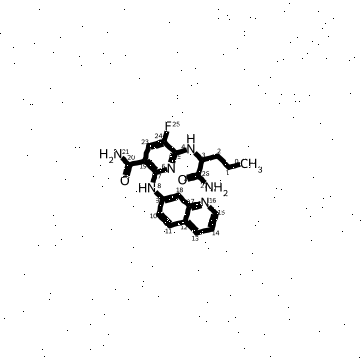 CCCC(Nc1nc(Nc2ccc3cccnc3c2)c(C(N)=O)cc1F)C(N)=O